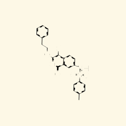 Cc1ccc(S(=O)(=O)Nc2ccc3c(Cl)c(OCCc4ccccc4)oc(=O)c3c2)cc1